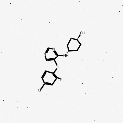 O[C@H]1CC[C@H](Nc2ncncc2Oc2ccc(Cl)cc2F)CC1